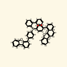 c1ccc(-c2ccccc2N(c2ccc(-c3cccc4c3oc3ccccc34)cc2)c2ccc(-c3cccc4ccc5c6ccccc6oc5c34)cc2)cc1